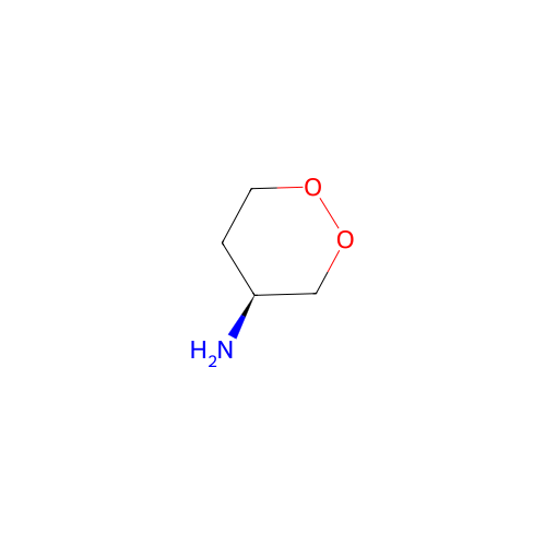 N[C@H]1CCOOC1